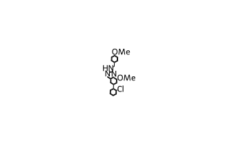 COc1ccc(CNc2ncc3cc(-c4ccccc4Cl)cc(OC)c3n2)cc1